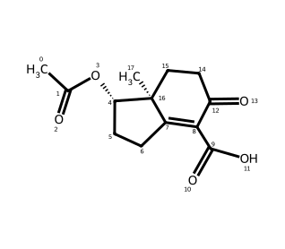 CC(=O)O[C@H]1CCC2=C(C(=O)O)C(=O)CC[C@@]21C